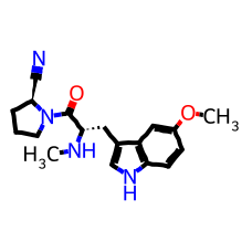 CN[C@@H](Cc1c[nH]c2ccc(OC)cc12)C(=O)N1CCC[C@H]1C#N